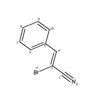 N#CC(Br)=Cc1ccccc1